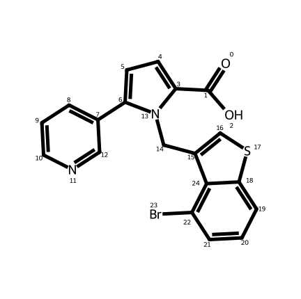 O=C(O)c1ccc(-c2cccnc2)n1Cc1csc2cccc(Br)c12